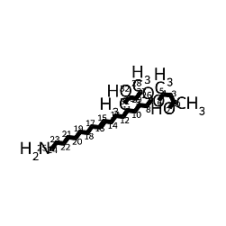 CC(O)CC(C)OC(CCCCCCCC=CCCCCCCCCN)OC(C)CC(C)O